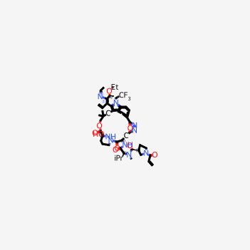 C=CC(=O)N1CC[C@H](C(=O)N(C)[C@H](C(=O)N[C@H]2Cc3nnc(o3)-c3ccc4c(c3)c(c(/C(C=C)=C(/N=C\C)[C@H](C)OCC)n4CC(F)(F)F)CC(C)(C)COC(=O)[C@@]3(O)CCCN(N3)C2=O)C(C)C)C1